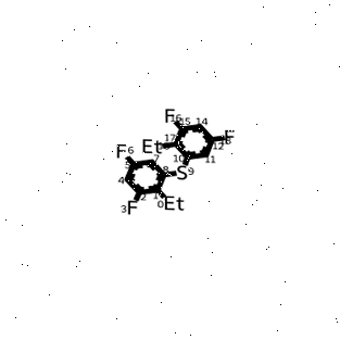 CCc1c(F)cc(F)cc1Sc1cc(F)cc(F)c1CC